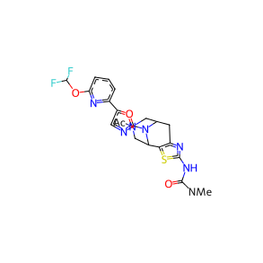 CNC(=O)Nc1nc2c(s1)C1CN(C(C)=O)CC(C2)N1c1ncc(-c2cccc(OC(F)F)n2)o1